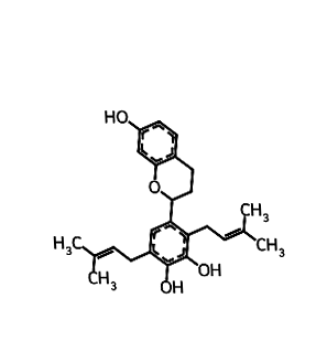 CC(C)=CCc1cc(C2CCc3ccc(O)cc3O2)c(CC=C(C)C)c(O)c1O